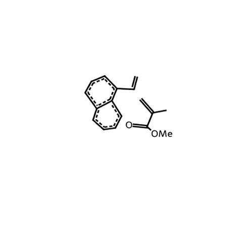 C=C(C)C(=O)OC.C=Cc1cccc2ccccc12